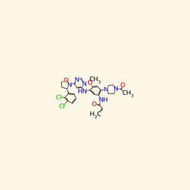 C=CC(=O)Nc1cc(Nc2cc(N3OCC[C@@H]3c3cccc(Cl)c3Cl)ncn2)c(OC)cc1N1CCN(C(C)=O)CC1